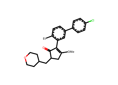 CCc1ccc(-c2ccc(Cl)cc2)cc1C1=C(OC)CC(CC2CCOCC2)C1=O